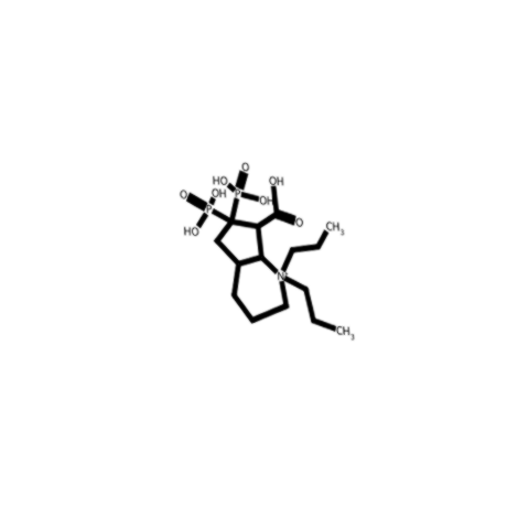 CCC[N+]1(CCC)CCCC2CC(P(=O)(O)O)(P(=O)(O)O)C(C(=O)O)C21